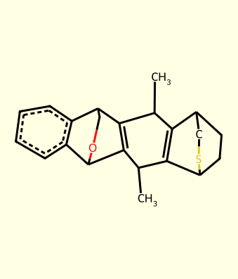 CC1C2=C(C3CCC2CS3)C(C)C2=C1C1COC2c2ccccc21